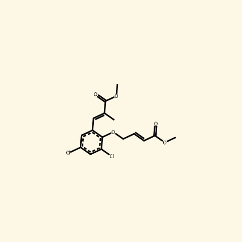 COC(=O)/C=C/COc1c(Cl)cc(Cl)cc1/C=C(\C)C(=O)OC